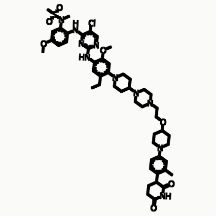 CCc1cc(Nc2ncc(Cl)c(Nc3ccc(OC)cc3N(C)S(C)(=O)=O)n2)c(OC)cc1N1CCC(N2CCN(CCOC3CCN(c4ccc(C5CCC(=O)NC5=O)c(C)c4)CC3)CC2)CC1